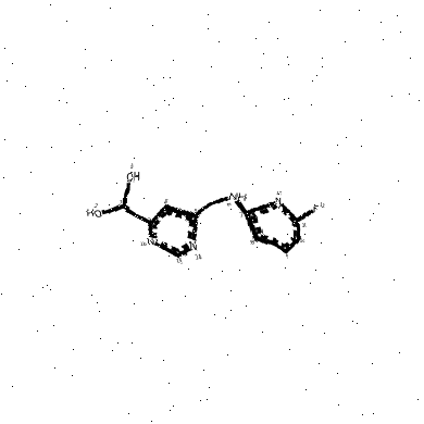 OC(O)c1cc(Nc2cccc(F)n2)ncn1